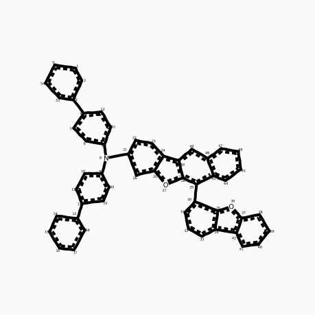 c1ccc(-c2ccc(N(c3ccc(-c4ccccc4)cc3)c3ccc4c(c3)oc3c(-c5cccc6c5oc5ccccc56)c5ccccc5cc34)cc2)cc1